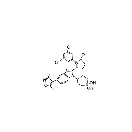 Cc1noc(C)c1-c1ccc2c(c1)nc([C@@H]1CCC(=O)N1c1cc(Cl)cc(Cl)c1)n2C1CCS(O)(O)CC1